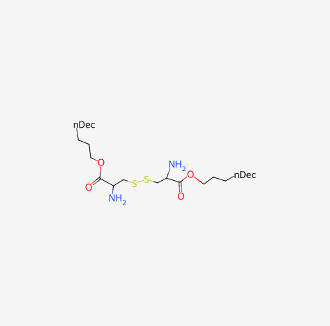 CCCCCCCCCCCCCOC(=O)C(N)CSSCC(N)C(=O)OCCCCCCCCCCCCC